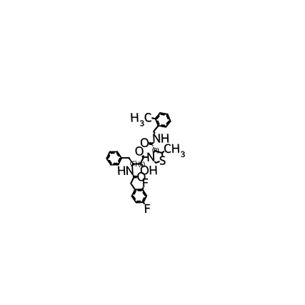 Cc1ccccc1CNC(=O)[C@@H]1C(C)SCN1C(=O)[C@@H](O)[C@H](Cc1ccccc1)NC(=O)Cc1ccc(F)cc1F